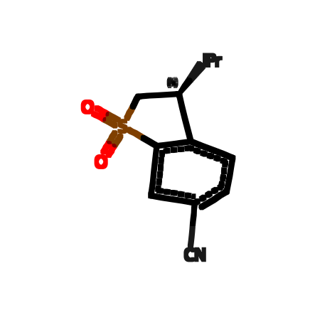 CC(C)[C@@H]1CS(=O)(=O)c2cc(C#N)ccc21